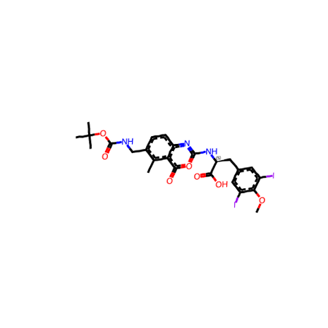 COc1c(I)cc(C[C@H](Nc2nc3ccc(CNC(=O)OC(C)(C)C)c(C)c3c(=O)o2)C(=O)O)cc1I